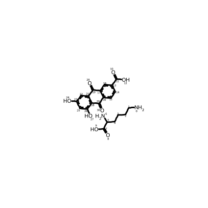 NCCCCC(N)C(=O)O.O=C(O)c1ccc2c(c1)C(=O)c1cc(O)cc(O)c1C2=O